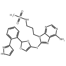 CS(=O)(=O)NCCCn1c(SC2=COC(c3ccccc3-c3cc[nH]n3)O2)nc2c(N)ncnc21